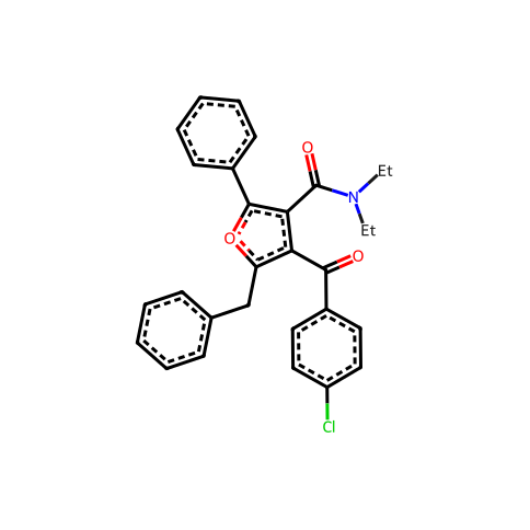 CCN(CC)C(=O)c1c(-c2ccccc2)oc(Cc2ccccc2)c1C(=O)c1ccc(Cl)cc1